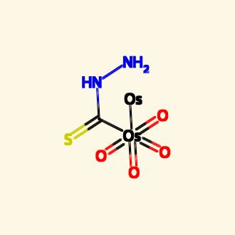 NN[C](=S)[Os](=[O])(=[O])(=[O])(=[O])[Os]